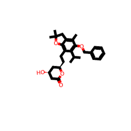 Cc1c2c(c(CC[C@@H]3C[C@@H](O)CC(=O)O3)c(C(C)C)c1OCc1ccccc1)OC(C)(C)C2